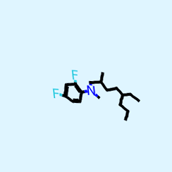 CCCC(CC)CCC(C)CN(C)c1ccc(F)cc1F